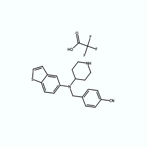 N#Cc1ccc(CN(c2ccc3sccc3c2)C2CCNCC2)cc1.O=C(O)C(F)(F)F